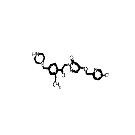 CCc1cc(CN2CCNCC2)ccc1C(=O)Cn1ncc(OCc2ccc(Cl)cn2)cc1=O